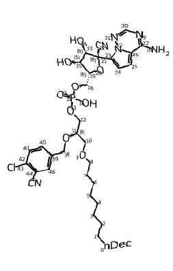 CCCCCCCCCCCCCCCCCCOC[C@H](COP(=O)(O)OC[C@H]1O[C@@](C#N)(c2ccc3c(N)ncnn23)[C@H](O)[C@@H]1O)OCc1ccc(Cl)c(C#N)c1